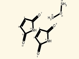 O=C1C=CC(=O)N1.O=C1C=CC(=O)N1.[SiH3]O[SiH3]